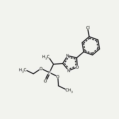 CCOP(=O)(OCC)C(C)c1noc(-c2cccc(Cl)c2)n1